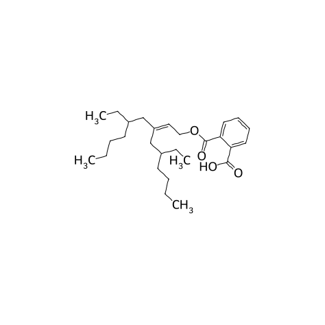 CCCCC(CC)CC(=CCOC(=O)c1ccccc1C(=O)O)CC(CC)CCCC